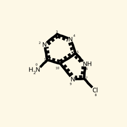 Nc1ncnc2[nH]c(Cl)nc12